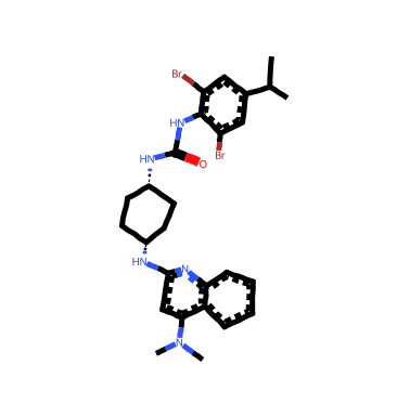 CC(C)c1cc(Br)c(NC(=O)N[C@H]2CC[C@@H](Nc3cc(N(C)C)c4ccccc4n3)CC2)c(Br)c1